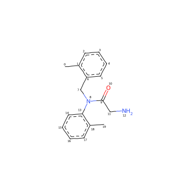 Cc1ccccc1CN(C(=O)CN)c1ccccc1C